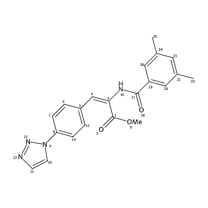 COC(=O)/C(=C\c1ccc(-n2ccnn2)cc1)NC(=O)c1cc(C)cc(C)c1